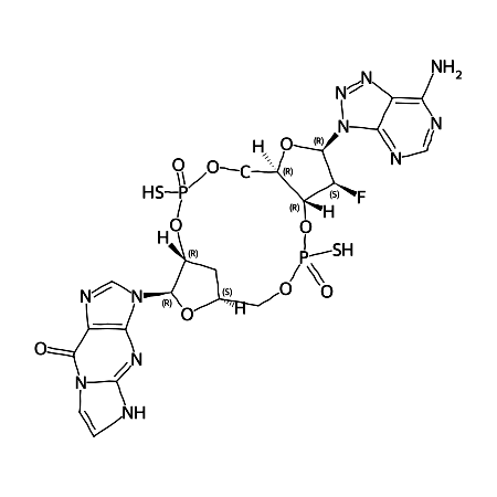 Nc1ncnc2c1nnn2[C@@H]1O[C@@H]2COP(=O)(S)O[C@@H]3C[C@@H](COP(=O)(S)O[C@H]2[C@@H]1F)O[C@H]3n1cnc2c(=O)n3cc[nH]c3nc21